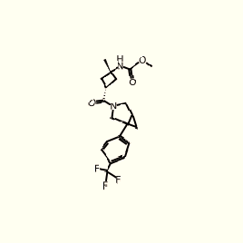 COC(=O)N[C@]1(C)C[C@H](C(=O)N2CC3CC3(c3ccc(C(F)(F)F)cc3)C2)C1